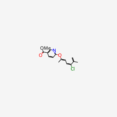 C=C(C)/C(Cl)=C\C=C(/C)Oc1ccc(C(=O)OC)cn1